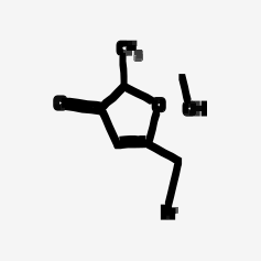 CO.O=C1C=C(CBr)OC1C(F)(F)F